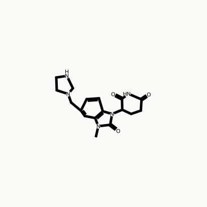 Cn1c(=O)n(C2CCC(=O)NC2=O)c2ccc(CN3CCNC3)cc21